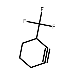 FC(F)(F)C1C#CCCC1